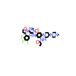 C=CC(=O)Nc1cc(Nc2cc(N3OCC[C@@H]3c3ccc(F)c(F)c3F)ncn2)c(OC)cc1N1CCC(N2CCN(C)CC2)CC1